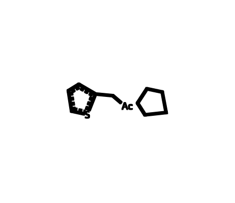 C1CCCC1.CC(=O)Cc1cccs1